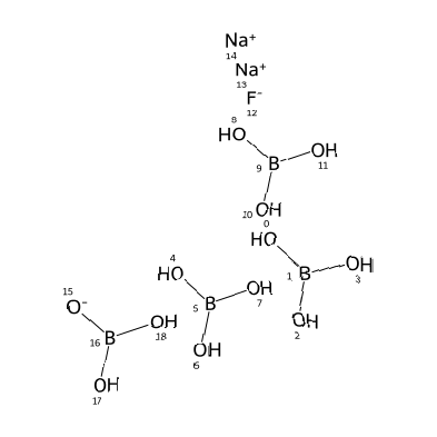 OB(O)O.OB(O)O.OB(O)O.[F-].[Na+].[Na+].[O-]B(O)O